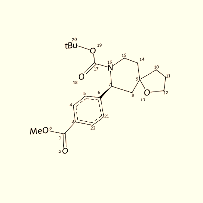 COC(=O)c1ccc([C@@H]2CC3(CCCO3)CCN2C(=O)OC(C)(C)C)cc1